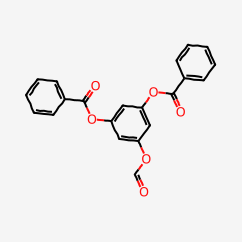 O=COc1cc(OC(=O)c2ccccc2)cc(OC(=O)c2ccccc2)c1